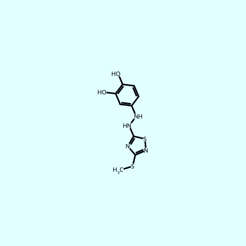 CSc1nsc(NNc2ccc(O)c(O)c2)n1